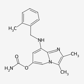 Cc1ccccc1CNc1cc(OC(N)=O)cn2c(C)c(C)nc12